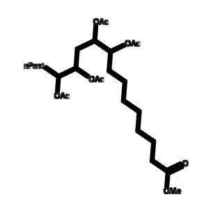 CCCCCC(OC(C)=O)C(CC(OC(C)=O)C(CCCCCCCC(=O)OC)OC(C)=O)OC(C)=O